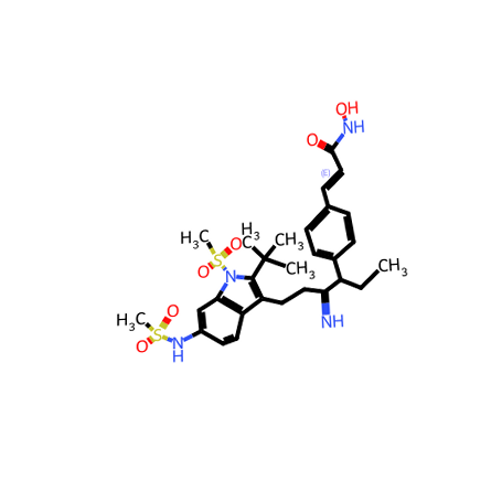 CCC(C(=N)CCc1c(C(C)(C)C)n(S(C)(=O)=O)c2cc(NS(C)(=O)=O)ccc12)c1ccc(/C=C/C(=O)NO)cc1